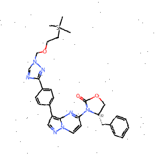 C[Si](C)(C)CCOCn1cnc(-c2ccc(-c3cnn4ccc(N5C(=O)OC[C@@H]5Cc5ccccc5)nc34)cc2)n1